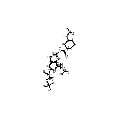 CC(=O)N[C@@H]1CCC[C@H](C(=O)Nc2ncc3cc(N(C)C(=O)OC(C)(C)C)nc(NC(C)C)c3n2)C1